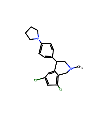 CN1Cc2c(Cl)cc(Cl)cc2C(c2ccc(N3CCCC3)cc2)C1